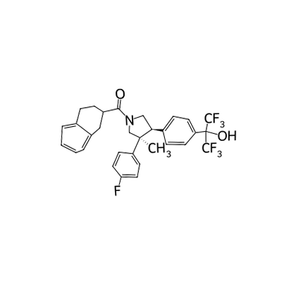 C[C@]1(c2ccc(F)cc2)CN(C(=O)C2CCc3ccccc3C2)C[C@H]1c1ccc(C(O)(C(F)(F)F)C(F)(F)F)cc1